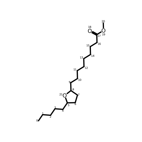 CCCCCC1CCC(CCCCCCCCC(=O)OC)O1